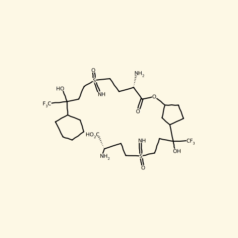 N=S(=O)(CC[C@H](N)C(=O)O)CCC(O)(C1CCC(OC(=O)[C@@H](N)CCS(=N)(=O)CCC(O)(C2CCCCC2)C(F)(F)F)C1)C(F)(F)F